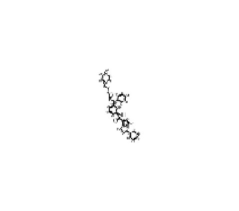 CN1CCN(CCCON=C(c2ccccc2)c2cccc(NC(=O)c3ccn4c3CSC4c3cccnc3)c2)CC1